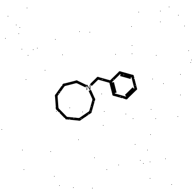 c1ccc(CN2CCCCCCCC2)cc1